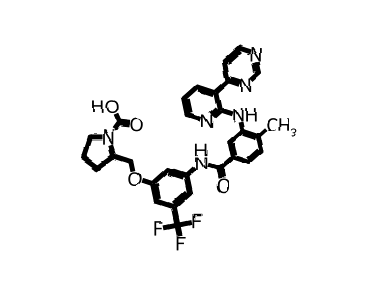 Cc1ccc(C(=O)Nc2cc(OCC3CCCN3C(=O)O)cc(C(F)(F)F)c2)cc1Nc1ncccc1-c1ccncn1